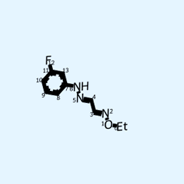 CCO/N=C/C=N/Nc1cccc(F)c1